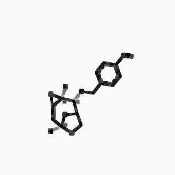 COc1ccc(CO[C@@H]2C3CO[C@@H](C=C4O[C@H]42)O3)cc1